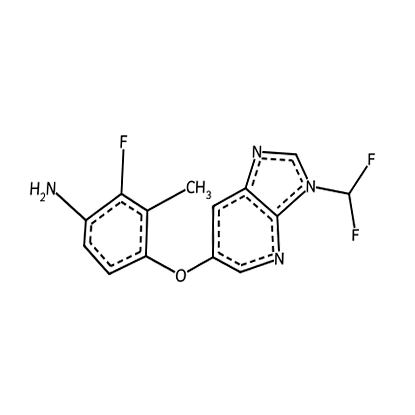 Cc1c(Oc2cnc3c(c2)ncn3C(F)F)ccc(N)c1F